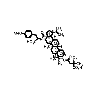 C=C(C)[C@@H]1CC[C@]2(C(=O)NC(Cc3ccc(OC)cc3)C(=O)O)CC[C@]3(C)[C@H](CC[C@@H]4[C@@]5(C)CC[C@H](OC(=O)CC(C)(C)C(=O)O)C(C)(C)[C@@H]5CC[C@]43C)[C@@H]12